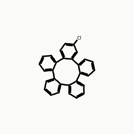 Clc1ccc2c3ccccc3c3ccccc3c3ccccc3c3ccccc3c2c1